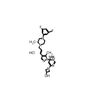 Cc1c(C=CCN2CCN(c3cc(F)cc(F)c3)C[C@H]2C)cnn1C1(N)C=C(N2CC(O)C2)N=CN1.Cl